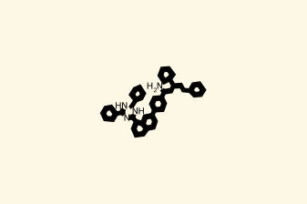 N=C(/N=C(\NCc1ccccc1)c1cccc2ccc(-c3ccc(/C(N)=C/C(=C\Cc4ccccc4)c4ccccc4)cc3)cc12)c1ccccc1